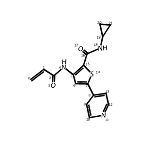 C=CC(=O)Nc1cc(-c2ccncc2)sc1C(=O)NC1CC1